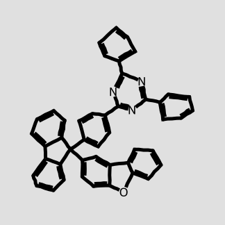 c1ccc(-c2nc(-c3ccccc3)nc(-c3ccc(C4(c5ccc6oc7ccccc7c6c5)c5ccccc5-c5ccccc54)cc3)n2)cc1